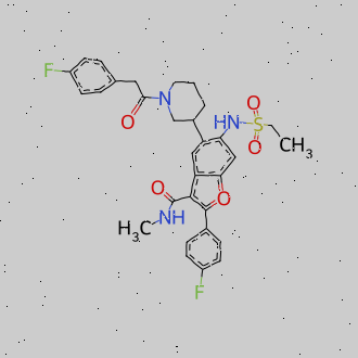 CCS(=O)(=O)Nc1cc2oc(-c3ccc(F)cc3)c(C(=O)NC)c2cc1C1CCCN(C(=O)Cc2ccc(F)cc2)C1